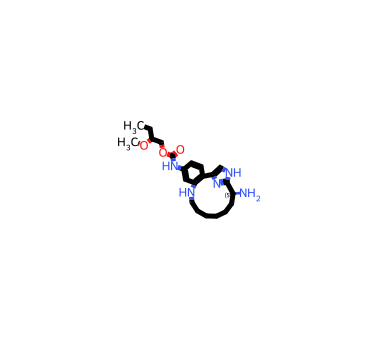 CCC(COC(=O)Nc1ccc2c(c1)NCCCCCC[C@H](N)c1nc-2c[nH]1)OC